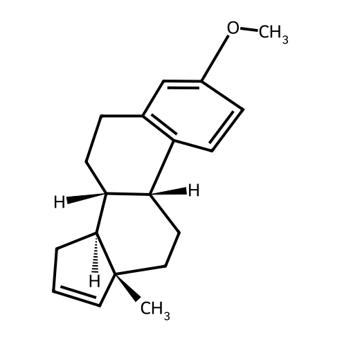 COc1ccc2c(c1)CC[C@@H]1[C@H]2CC[C@]2(C)C=CC[C@@H]12